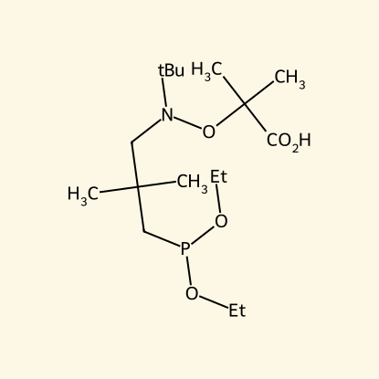 CCOP(CC(C)(C)CN(OC(C)(C)C(=O)O)C(C)(C)C)OCC